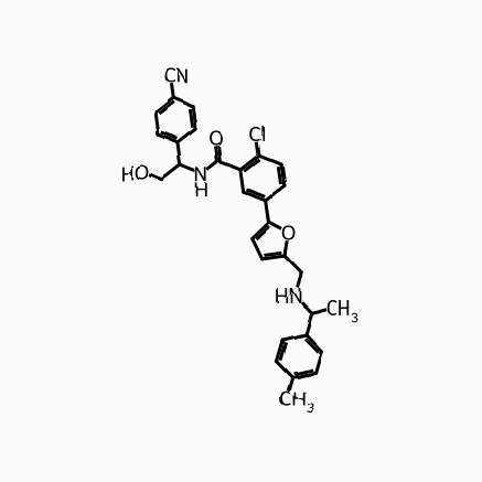 Cc1ccc(C(C)NCc2ccc(-c3ccc(Cl)c(C(=O)NC(CO)c4ccc(C#N)cc4)c3)o2)cc1